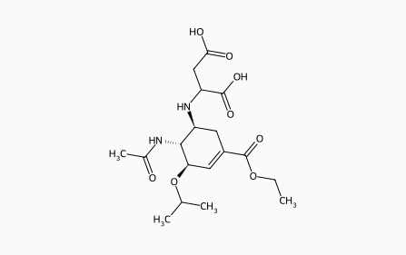 CCOC(=O)C1=C[C@@H](OC(C)C)[C@H](NC(C)=O)[C@@H](NC(CC(=O)O)C(=O)O)C1